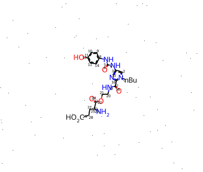 CCCCn1cc(NC(=O)Nc2ccc(O)cc2)nc1C(=O)NCCOC(=O)[C@@H](N)CCC(=O)O